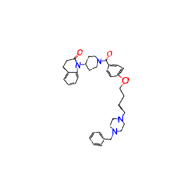 O=C(c1ccc(OCCCCN2CCN(Cc3ccccc3)CC2)cc1)N1CCC(N2C(=O)CCc3ccccc32)CC1